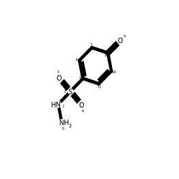 NNS(=O)(=O)C1=CCC(=O)C=C1